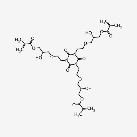 C=C(C)C(=O)OCC(O)COCCn1c(=O)n(CCOCC(O)COC(=O)C(=C)C)c(=O)n(CCOCC(O)COC(=O)C(=C)C)c1=O